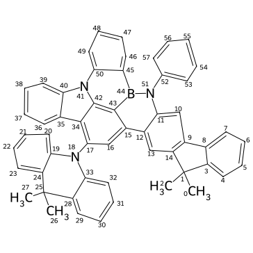 CC1(C)c2ccccc2-c2cc3c(cc21)-c1cc(N2c4ccccc4C(C)(C)c4ccccc42)c2c4ccccc4n4c2c1B(c1ccccc1-4)N3c1ccccc1